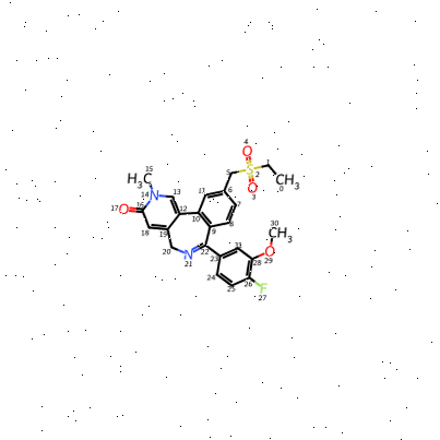 CCS(=O)(=O)Cc1ccc2c(c1)-c1cn(C)c(=O)cc1CN=C2c1ccc(F)c(OC)c1